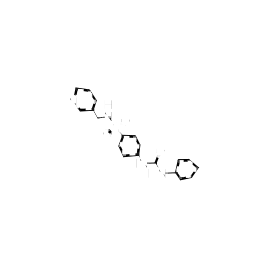 O=C(Nc1ccccc1)Nc1ccc(S(=O)(=O)NCc2cccnc2)cc1